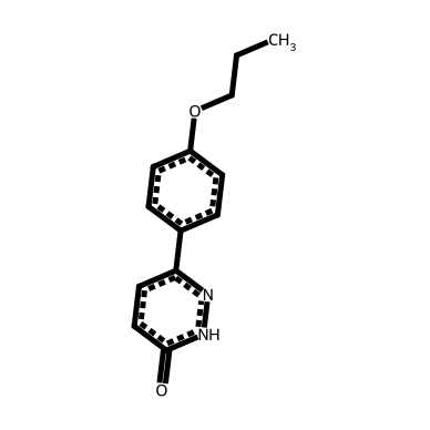 CCCOc1ccc(-c2ccc(=O)[nH]n2)cc1